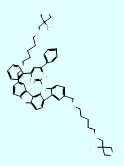 CCC1(COCCCCCOCc2ccc3oc4ccc5c6cc(COCCCCCOCC7(CC)COC7)ccc6n(-c6nc(-c7ccccc7)cc(-c7ccccc7)n6)c5c4c3c2)COC1